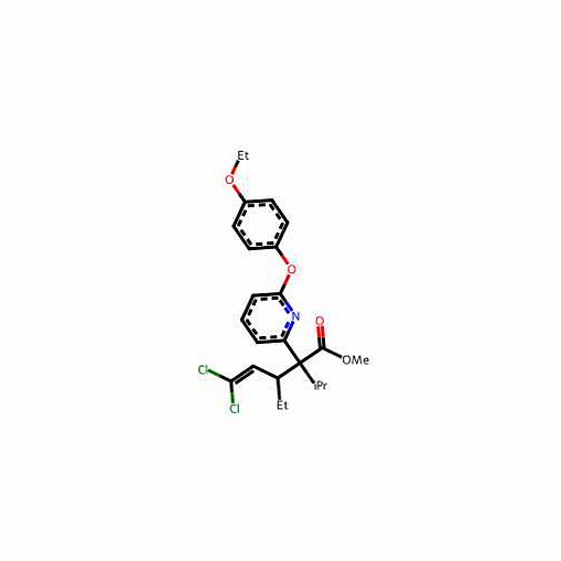 CCOc1ccc(Oc2cccc(C(C(=O)OC)(C(C)C)C(C=C(Cl)Cl)CC)n2)cc1